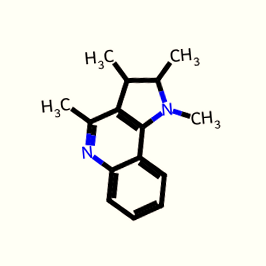 Cc1nc2ccccc2c2c1C(C)C(C)N2C